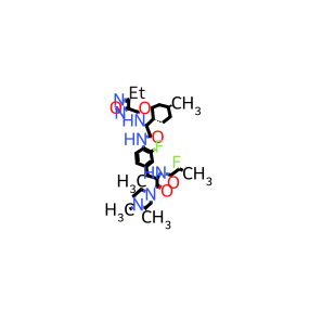 CCc1nonc1C(=O)N[C@H](C(=O)Nc1ccc([C@H](C)C(NC(=O)C(C)F)C(=O)N2CCN(C)[C@@H](C)C2)cc1F)[C@H]1CC[C@H](C)CC1